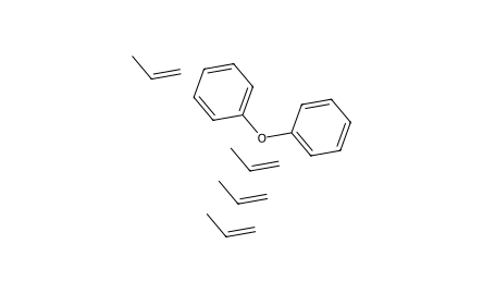 C=CC.C=CC.C=CC.C=CC.c1ccc(Oc2ccccc2)cc1